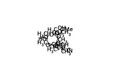 CO[C@]1(C)C[C@H](O[C@H]2[C@H](C)[C@@H](O[C@@H]3O[C@H](C)C[C@H](N(C)Cc4ccncc4)[C@H]3O)C(C)(C)C[C@@H](C)C(=O)[C@H](C)[C@@H](O)[C@@]3(O)C(C)[C@H]3OC(=O)[C@@H]2C)O[C@@H](C)[C@@H]1O